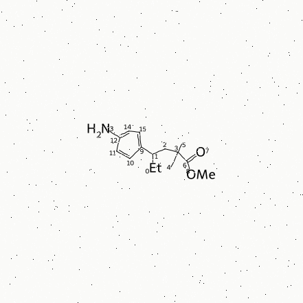 CCC(CC(C)(C)C(=O)OC)c1ccc(N)cc1